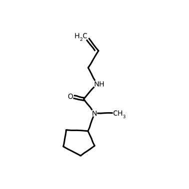 C=CCNC(=O)N(C)C1CCCC1